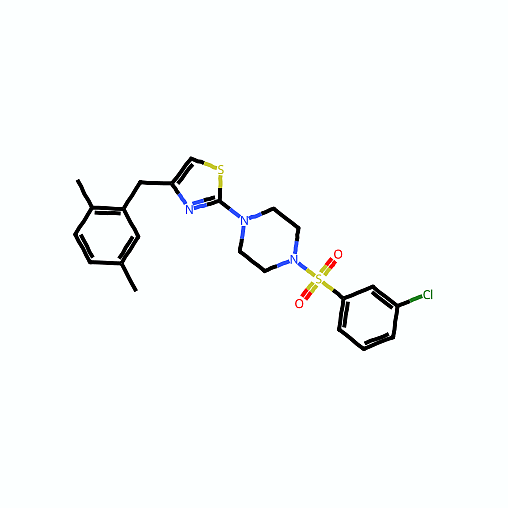 Cc1ccc(C)c(Cc2csc(N3CCN(S(=O)(=O)c4cccc(Cl)c4)CC3)n2)c1